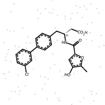 Cc1oc(C(=O)N[C@@H](CC(=O)O)Cc2ccc(-c3cccc(Cl)c3)cc2)cc1O